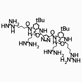 CC(C)(C)c1cc(NC(=O)CCCCNC(=N)N)c(SCCCC(=N)N)c(NC(=O)c2cc(C(=O)Nc3cc(C(C)(C)C)cc(NC(=O)CCCCNC(=N)N)c3SCCCC(=N)N)ncn2)c1